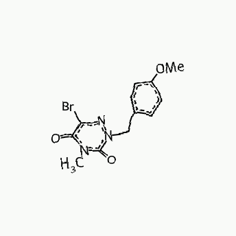 COc1ccc(Cn2nc(Br)c(=O)n(C)c2=O)cc1